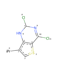 CC(C)c1csc2c1NC(Cl)N=C2Cl